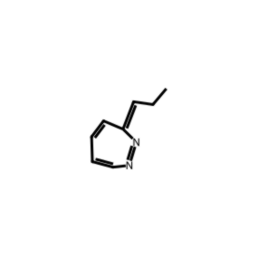 CCC=C1C=CC=CN=N1